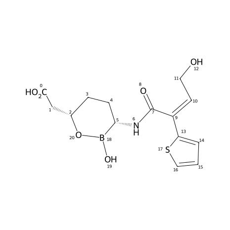 O=C(O)C[C@@H]1CC[C@H](NC(=O)/C(=C\CO)c2cccs2)B(O)O1